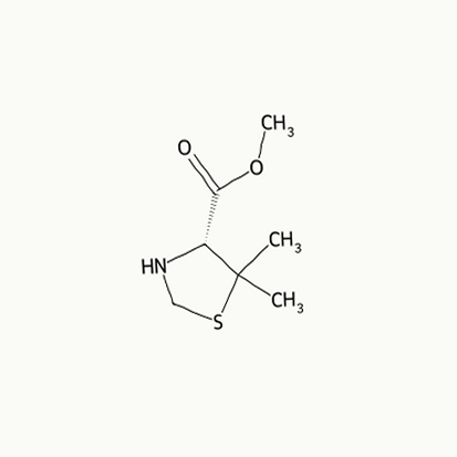 COC(=O)[C@H]1NCSC1(C)C